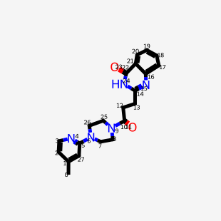 Cc1ccnc(N2CCN(C(=O)CCc3nc4ccccc4c(=O)[nH]3)CC2)c1